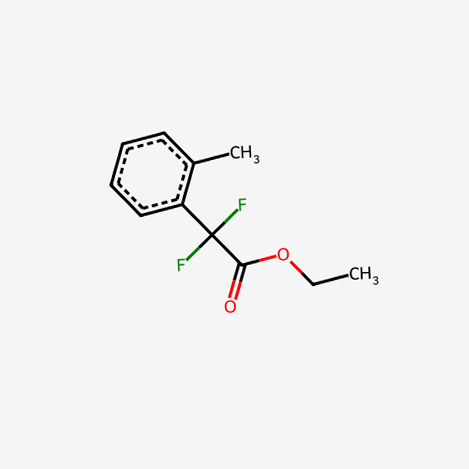 CCOC(=O)C(F)(F)c1ccccc1C